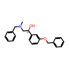 CN(Cc1ccccc1)C[C@@H](O)c1cccc(OCc2ccccc2)c1